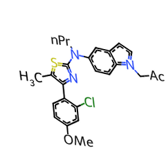 CCCN(c1ccc2c(ccn2CC(C)=O)c1)c1nc(-c2ccc(OC)cc2Cl)c(C)s1